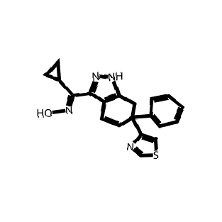 ON=C(c1n[nH]c2c1C=CC(c1ccccc1)(c1cscn1)C2)C1CC1